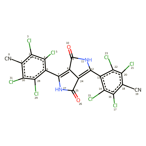 [C-]#[N+]c1c(Cl)c(Cl)c(C2=C3C(=O)NC(c4c(Cl)c(Cl)c(C#N)c(Cl)c4Cl)=C3C(=O)N2)c(Cl)c1Cl